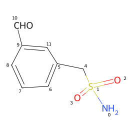 NS(=O)(=O)Cc1cccc(C=O)c1